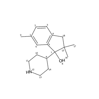 Cc1ccc2c(c1)C(O)(C1CCNCC1)C(C)(C)C2